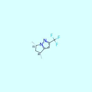 C[C@@H]1C[C@H](C)n2nc(C(F)(F)F)cc21